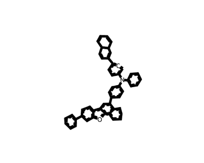 C1=CC2C=CC(c3ccc(N(c4ccccc4)c4ccc(-c5cc6c7ccc(-c8ccccc8)cc7oc6c6ccccc56)cc4)cc3)=CC2C=C1